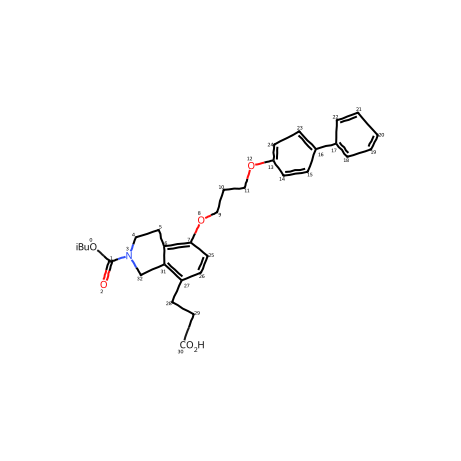 CC(C)COC(=O)N1CCc2c(OCCCOc3ccc(-c4ccccc4)cc3)ccc(CCC(=O)O)c2C1